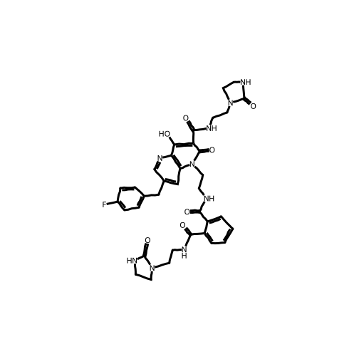 O=C(NCCN1CCNC1=O)c1ccccc1C(=O)NCCn1c(=O)c(C(=O)NCCN2CCNC2=O)c(O)c2ncc(Cc3ccc(F)cc3)cc21